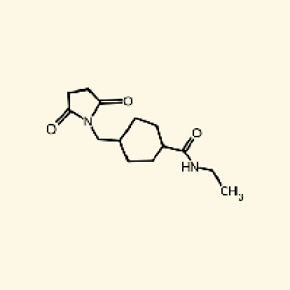 CCNC(=O)C1CCC(CN2C(=O)CCC2=O)CC1